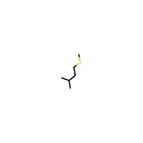 CS[CH]CC(C)C